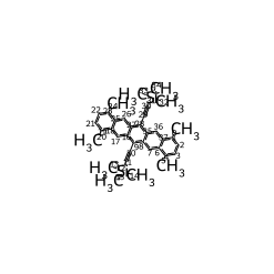 Cc1ccc(C)c2cc3c(C#C[Si](C)(C)C)c4cc5c(C)ccc(C)c5cc4c(C#C[Si](C)(C)C)c3cc12